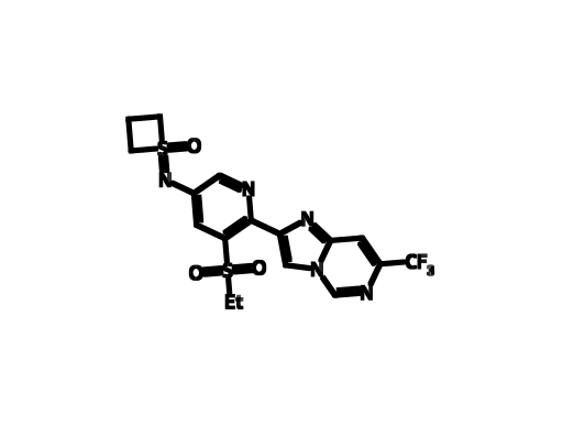 CCS(=O)(=O)c1cc(N=S2(=O)CCC2)cnc1-c1cn2cnc(C(F)(F)F)cc2n1